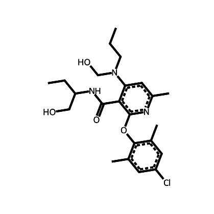 CCCN(CO)c1cc(C)nc(Oc2c(C)cc(Cl)cc2C)c1C(=O)NC(CC)CO